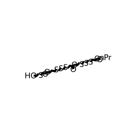 CCCOOCCSCSCSCCOC(=O)CCSCSCSCCCOOCSCCO